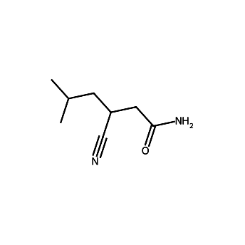 CC(C)CC(C#N)CC(N)=O